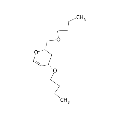 CCCCOC[C@@H]1C[C@H](OCCCC)C=CO1